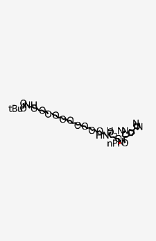 CCCN(OCCCC(=O)NCCOCCOCCOCCOCCOCCOCCOCCOCCOCCOCCNC(=O)OC(C)(C)C)C(=O)C1=Cc2ccc(-c3cncnc3)cc2N=C(N)C1